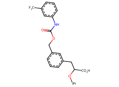 CC(C)OC(Cc1cccc(COC(=O)Nc2cccc(C(F)(F)F)c2)c1)C(=O)O